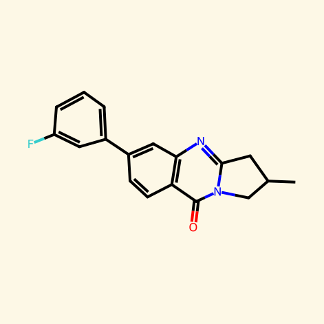 CC1Cc2nc3cc(-c4cccc(F)c4)ccc3c(=O)n2C1